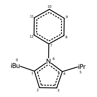 CCC(C)c1ccc(C(C)C)n1-c1ccccc1